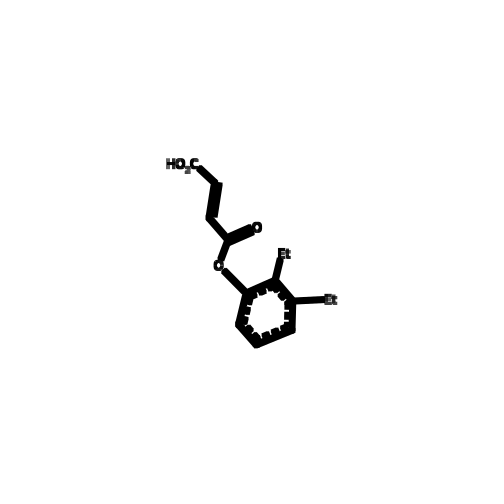 CCc1cccc(OC(=O)C=CC(=O)O)c1CC